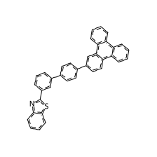 c1cc(-c2ccc(-c3ccc4c5ccccc5c5ccccc5c4c3)cc2)cc(-c2nc3ccccc3s2)c1